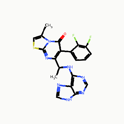 Cc1csc2nc(C(C)Nc3ncnc4[nH]cnc34)c(-c3cccc(F)c3F)c(=O)n12